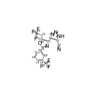 N#Cc1[nH]nnc1-c1nc(-c2cccc(C(F)(F)F)c2)oc1CC(F)(F)F